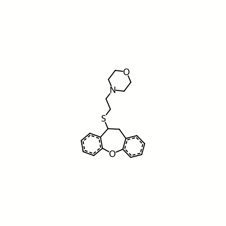 c1ccc2c(c1)CC(SCCN1CCOCC1)c1ccccc1O2